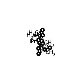 C=C/C(=C\C)N(c1cc(C(C)C)c2ccc3c(N(c4ccc(C)c(-c5ccccc5C)c4)c4cccc5c4sc4ccccc45)cc(C)c4ccc1c2c43)c1cccc2c1sc1ccccc12